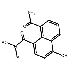 CC(=O)N(C(C)=O)C(=O)c1ccc(O)c2cccc(C(N)=O)c12